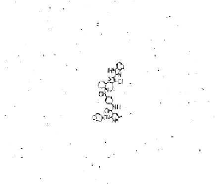 Cc1cnc(N2CC3(CCOCC3)C2)c(C(=O)Nc2ccc(C(=O)N3CCc4c(sc(-c5nc6ccccc6[nH]5)c4Cl)-c4ccccc43)cc2)c1